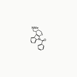 CNCC1CCSc2c1c1ccccc1n2C(=O)c1ccccc1